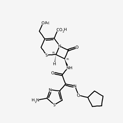 CC(=O)OCC1=C(C(=O)O)N2C(=O)[C@@H](NC(=O)C(=NOC3CCCC3)c3csc(N)n3)[C@H]2SC1